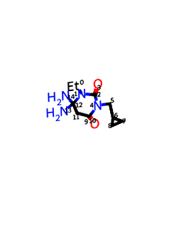 CCN1C(=O)N(CC2CC2)C(=O)CC1(N)N